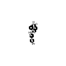 CC(C)N1CCN(c2ccc(Nc3ncc4c(n3)N3C(C=C4)C(=O)NCC34CCCCC4)nc2)CC1